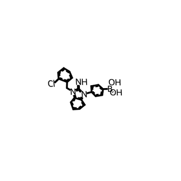 N=c1n(Cc2ccccc2Cl)c2ccccc2n1-c1ccc(B(O)O)cc1